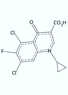 O=C(O)c1cn(C2CC2)c2cc(Cl)c(F)c(Cl)c2c1=O